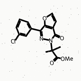 COC(=O)C(C)(C)n1nc(-c2cccc(Cl)c2)c2occc2c1=O